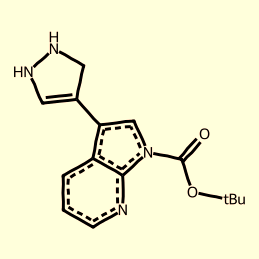 CC(C)(C)OC(=O)n1cc(C2=CNNC2)c2cccnc21